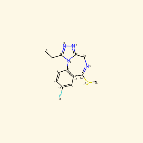 CCc1nnc2n1-c1ccc(F)cc1C(SC)=NC2